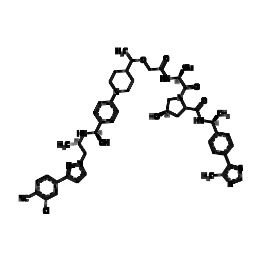 Cc1ncsc1-c1ccc([C@H](C)NC(=O)C2C[C@@H](O)CN2C(=O)[C@@H](NC(=O)COC(C)C2CCN(c3ccc([C@@H](O)N[C@@H](C)Cn4ccc(-c5ccc(C#N)c(Cl)c5)n4)cc3)CC2)C(C)(C)C)cc1